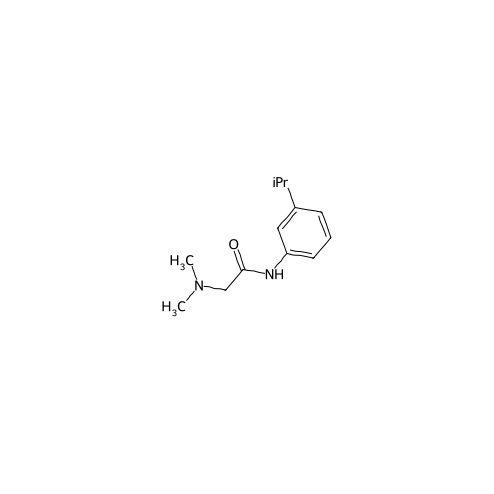 CC(C)c1cccc(NC(=O)CN(C)C)c1